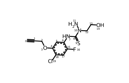 C#CCOc1cc(NC(=S)N(N)CCO)c(F)cc1Cl